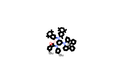 Cc1cc2c(cc1N1c3cc4c(cc3B3c5oc6ccc(C(C)(C)C)cc6c5N(c5ccc(C(C)(C)C)cc5)c5cc(N6c7ccccc7[Si](c7ccccc7)(c7ccccc7)c7ccccc76)cc1c53)C(C)(C)CCC4(C)C)C(C)(C)CCC2(C)C